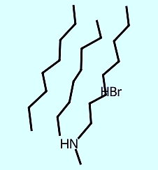 Br.CCCCCCCC.CCCCCCCC.CCCCCCCCNC